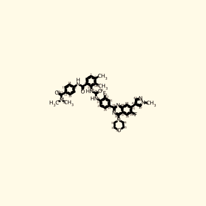 Cc1ccc(C(=O)Nc2ccc(C(=O)N(C)C)cc2)c(NC(=O)Nc2ccc(-c3nc(N4CCOCC4)c4cc(F)c(-c5cnn(C)c5)cc4n3)cc2F)c1C